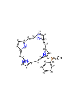 C1=Cc2cc3ccc(cc4nc(cc5ccc(cc1n2)[nH]5)C=C4)[nH]3.[Co][S]c1ccccc1